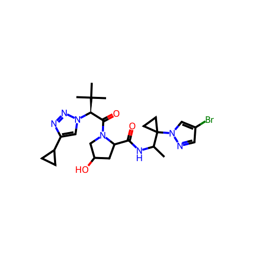 CC(NC(=O)C1CC(O)CN1C(=O)[C@@H](n1cc(C2CC2)nn1)C(C)(C)C)C1(n2cc(Br)cn2)CC1